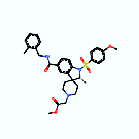 COC(=O)CN1CCC2(CC1)c1cc(C(=O)NCc3ccccc3C)ccc1N(S(=O)(=O)c1ccc(OC)cc1)[C@@H]2C